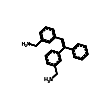 NCc1cccc(C=C(c2ccccc2)c2cccc(CN)c2)c1